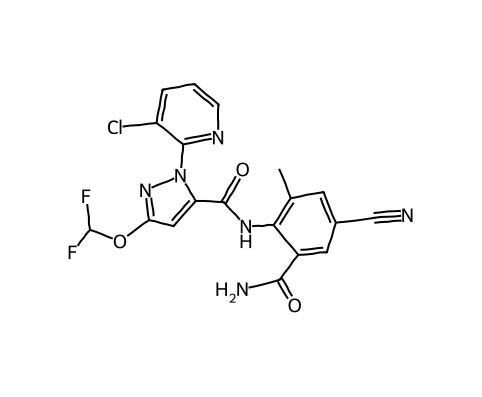 Cc1cc(C#N)cc(C(N)=O)c1NC(=O)c1cc(OC(F)F)nn1-c1ncccc1Cl